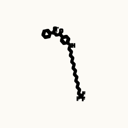 O=C(C[S+]([O-])c1ccccc1)c1ccc(NCCCCCCCCCCCCCCCC(F)(F)F)cc1